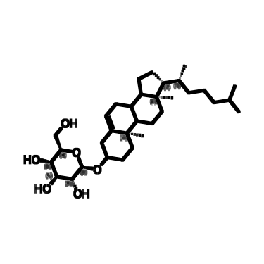 CC(C)CCC[C@@H](C)[C@H]1CCC2C3CC=C4CC(O[C@@H]5O[C@H](CO)[C@H](O)[C@H](O)[C@H]5O)CC[C@]4(C)C3CC[C@@]21C